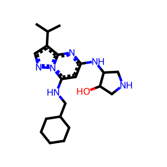 CC(C)c1cnn2c(NCC3CCCCC3)cc(NC3CNCC3O)nc12